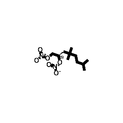 CC(C)CCC(C)(C)C[C@@H](CO[N+](=O)[O-])O[N+](=O)[O-]